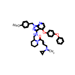 COc1ccc(Cn2nc(NCC3CCCCN3C(=O)/C=C/CN(C)C3CC3)c3c(Oc4ccc(Oc5ccccc5)cc4)ccnc32)cc1